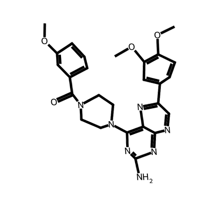 COc1cccc(C(=O)N2CCN(c3nc(N)nc4ncc(-c5ccc(OC)c(OC)c5)nc34)CC2)c1